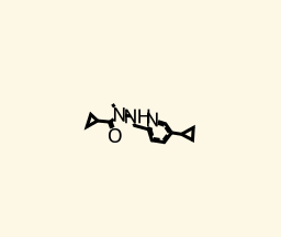 CN(NCc1ccc(C2CC2)cn1)C(=O)C1CC1